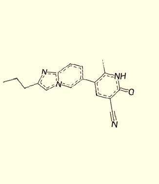 CCCc1cn2cc(-c3cc(C#N)c(=O)[nH]c3C)ccc2n1